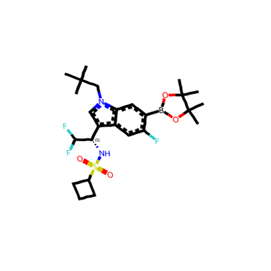 CC(C)(C)Cn1cc([C@H](NS(=O)(=O)C2CCC2)C(F)F)c2cc(F)c(B3OC(C)(C)C(C)(C)O3)cc21